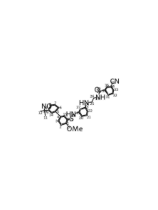 COc1ccc(-c2cccc(C(C)(C)N=O)c2)cc1SNc1cccc(NCCNC(=O)c2cccc(C#N)c2)c1